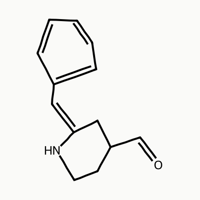 O=CC1CCNC(=Cc2ccccc2)C1